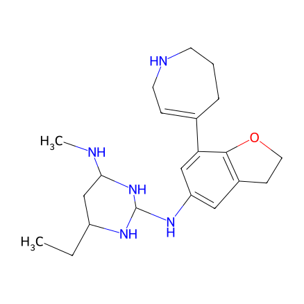 CCC1CC(NC)NC(Nc2cc3c(c(C4=CCNCCC4)c2)OCC3)N1